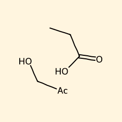 CC(=O)CO.CCC(=O)O